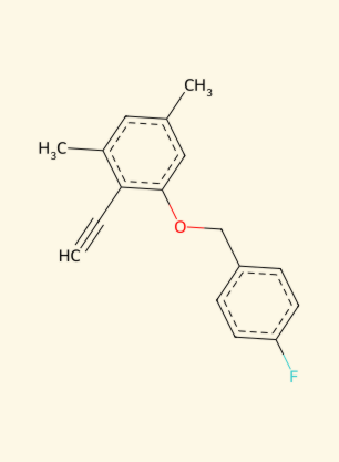 C#Cc1c(C)cc(C)cc1OCc1ccc(F)cc1